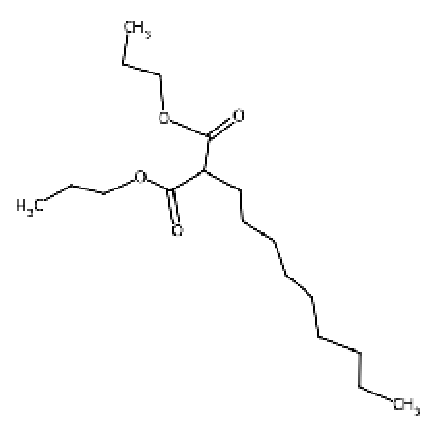 CCCCCCCCCC(C(=O)OCCC)C(=O)OCCC